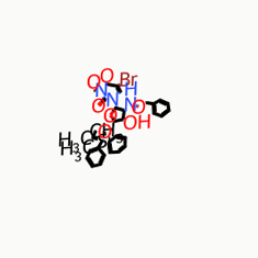 CC(C)(C)[Si](OC[C@@H]1O[C@H](n2cc(Br)c(=O)n(C=O)c2=O)C(NOCc2ccccc2)C1O)(c1ccccc1)c1ccccc1